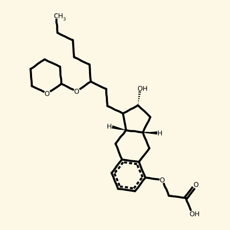 CCCCCC(CCC1[C@H](O)C[C@@H]2Cc3c(cccc3OCC(=O)O)C[C@H]12)OC1CCCCO1